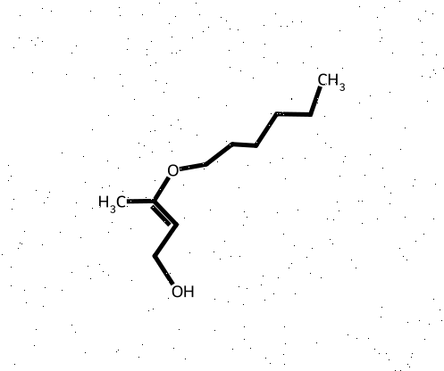 CCCCCCOC(C)=CCO